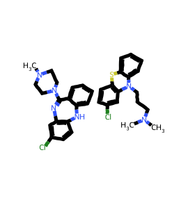 CN(C)CCCN1c2ccccc2Sc2ccc(Cl)cc21.CN1CCN(C2=Nc3cc(Cl)ccc3Nc3ccccc32)CC1